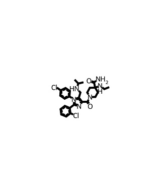 CCNC1(C(N)=O)CCN(C(=O)c2nc(-c3ccccc3Cl)n(-c3ccc(Cl)cc3)c2CNC(C)C)CC1